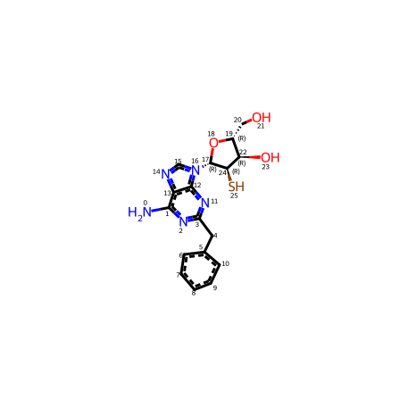 Nc1nc(Cc2ccccc2)nc2c1ncn2[C@@H]1O[C@H](CO)[C@@H](O)[C@H]1S